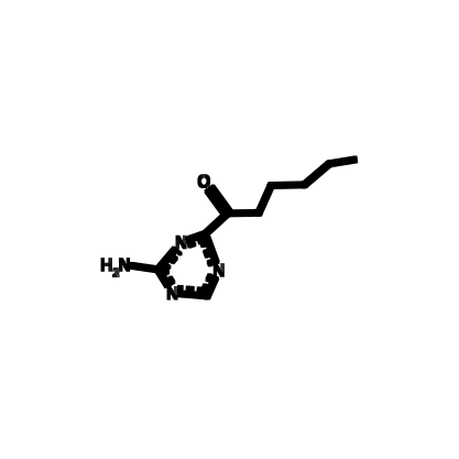 CCCCCC(=O)c1ncnc(N)n1